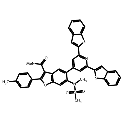 CNC(=O)c1c(-c2ccc(C)cc2)oc2cc(N(C)S(C)(=O)=O)c(-c3cc(-c4cc5ccccc5s4)nc(-c4cc5ccccc5s4)c3)cc12